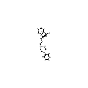 Cn1nc(CCCN2CCN(c3ccccc3)CC2)c2c1CCCC2